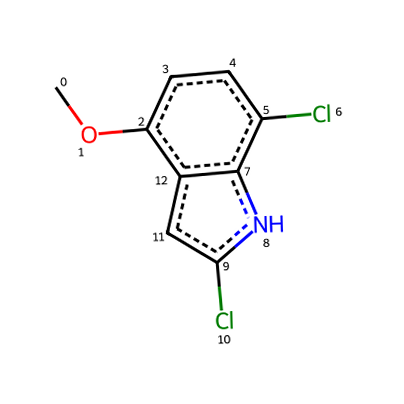 COc1ccc(Cl)c2[nH]c(Cl)cc12